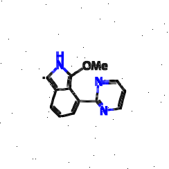 COc1[nH][c]c2cccc(-c3ncccn3)c12